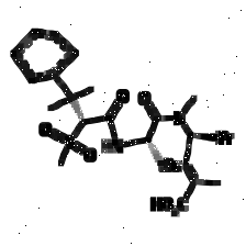 C/C(=C\[C@H](C(C)C)N(C)C(=O)[C@@H](NC(=O)[C@@H](C(C)(C)c1ccccc1)S(C)(=O)=O)C(C)(C)C)C(=O)O